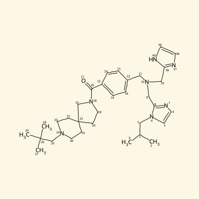 CC(C)Cn1ccnc1CN(Cc1ccc(C(=O)N2CCC3(CCN(CC(C)(C)C)CC3)C2)cc1)Cc1ncc[nH]1